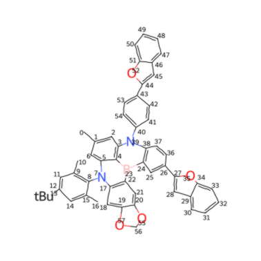 Cc1cc2c3c(c1)N(c1c(C)cc(C(C)(C)C)cc1C)c1cc4c(cc1B3c1cc(-c3cc5ccccc5o3)ccc1N2c1ccc(-c2cc3ccccc3o2)cc1)OCO4